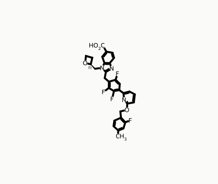 Cc1ccc(COc2cccc(-c3cc(F)c(Cc4nc5ccc(C(=O)O)cc5n4C[C@@H]4CCO4)c(F)c3F)n2)c(F)c1